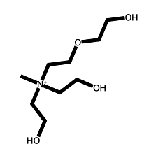 C[N+](CCO)(CCO)CCOCCO